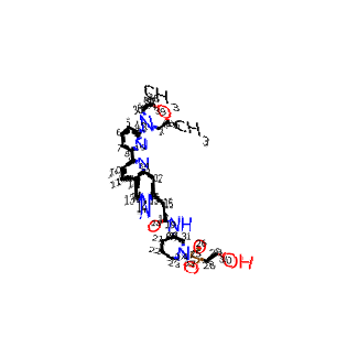 C[C@@H]1CN(c2cccc(-c3ccc4cnc(CC(=O)N[C@H]5CCCN(S(=O)(=O)CCO)C5)cc4n3)n2)C[C@H](C)O1